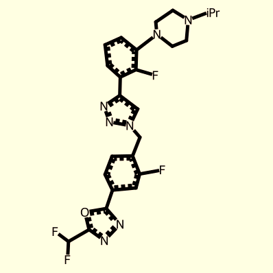 CC(C)N1CCN(c2cccc(-c3cn(Cc4ccc(-c5nnc(C(F)F)o5)cc4F)nn3)c2F)CC1